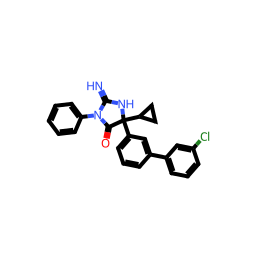 N=C1NC(c2cccc(-c3cccc(Cl)c3)c2)(C2CC2)C(=O)N1c1ccccc1